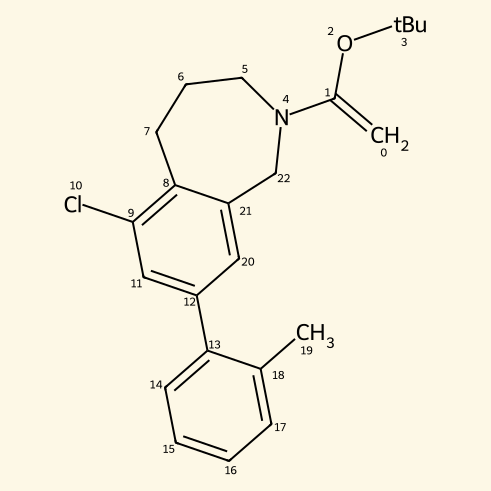 C=C(OC(C)(C)C)N1CCCc2c(Cl)cc(-c3ccccc3C)cc2C1